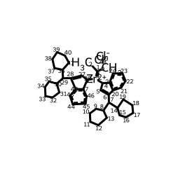 C[C](C)=[Zr+2]([CH]1C=C(C(C2CCCCC2)C2CCCCC2)c2ccccc21)[CH]1C=C(C(C2CCCCC2)C2CCCCC2)c2ccccc21.[Cl-].[Cl-]